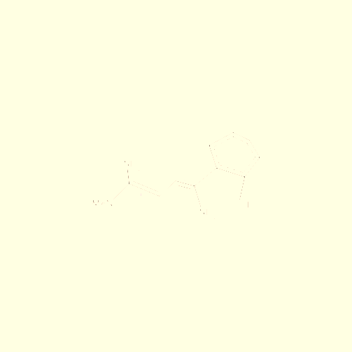 CN/C(N)=C/C=C(\N)c1ccccc1O